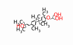 CCC(O)(C=Cc1ccc(C(CC)(CC)c2ccc(OCC(CO)CO)c(C)c2)cc1C)CC